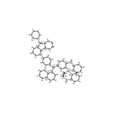 c1ccc(-n2c3ccccc3c3c(-c4ccc(N(c5ccc6c(c5)C5(c7ccccc7O6)c6ccccc6Sc6ccccc65)c5cccc6ccccc56)cc4)cccc32)cc1